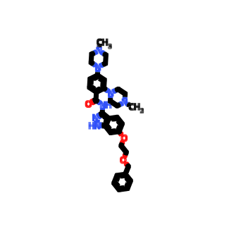 CN1CCN(c2ccc(C(=O)Nc3n[nH]c4cc(OCCOCc5ccccc5)ccc34)c(N3CCN(C)CC3)c2)CC1